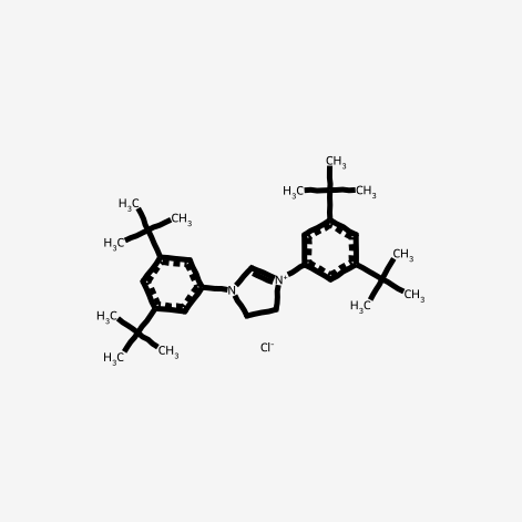 CC(C)(C)c1cc(N2C=[N+](c3cc(C(C)(C)C)cc(C(C)(C)C)c3)CC2)cc(C(C)(C)C)c1.[Cl-]